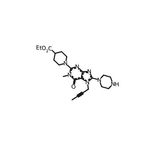 CC#CCn1c(N2CCNCC2)nc2nc(N3CCC(C(=O)OCC)CC3)n(C)c(=O)c21